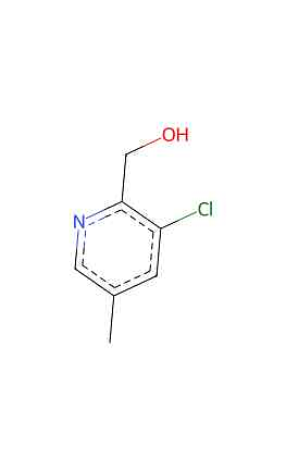 Cc1cnc(CO)c(Cl)c1